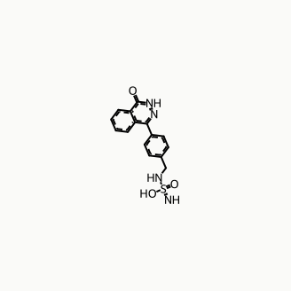 N=S(=O)(O)NCc1ccc(-c2n[nH]c(=O)c3ccccc23)cc1